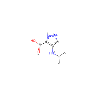 CC(C)Nc1c[nH]nc1C(=O)O